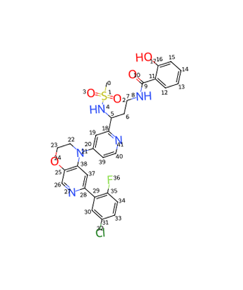 CS(=O)(=O)NC(CCNC(=O)c1ccccc1O)c1cc(N2CCOc3cnc(-c4cc(Cl)ccc4F)cc32)ccn1